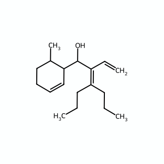 C=CC(=C(CCC)CCC)C(O)C1C=CCCC1C